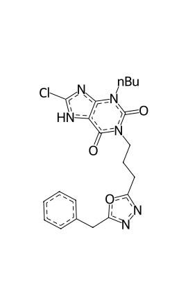 CCCCn1c(=O)n(CCCc2nnc(Cc3ccccc3)o2)c(=O)c2[nH]c(Cl)nc21